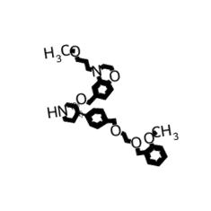 COCCCN1CCOc2ccc(CO[C@H]3CNCC[C@@H]3c3ccc(COCCOCc4ccccc4OC)cc3)cc21